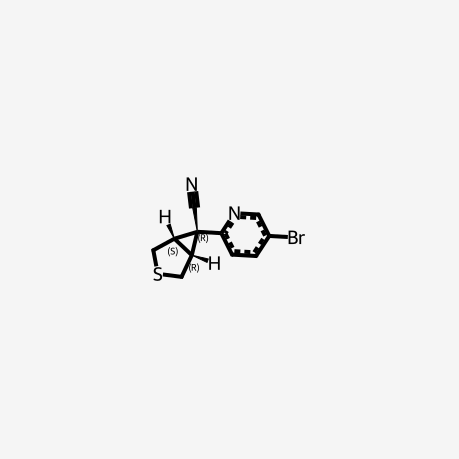 N#C[C@@]1(c2ccc(Br)cn2)[C@@H]2CSC[C@@H]21